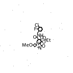 CCC(=O)Oc1c2n(cc(C(=O)NCc3cccc(Cl)c3F)c1=O)[C@]1(CN(C)C2=O)C[C@H](OC)C1